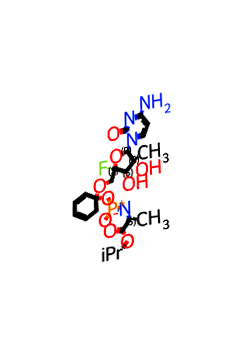 CC(C)OC(=O)[C@H](C)N=[P+]([O-])OC1(OC[C@@]2(F)O[C@@H](n3ccc(N)nc3=O)[C@](C)(O)[C@@H]2O)C=CC=CC1